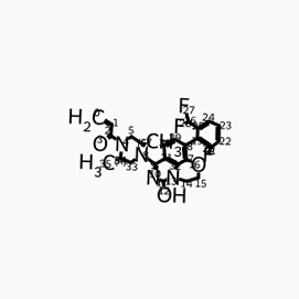 C=CC(=O)N1C[C@H](C)N(C2=NC(O)N3CCOc4c(-c5c(F)cccc5C(F)F)ccc2c43)C[C@H]1C